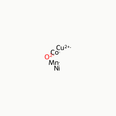 [Co].[Cu+2].[Mn].[Ni].[O-2]